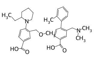 CCC1CCCCN1c1ccc(C(=O)O)cc1COC.Cc1ccccc1-c1ccc(C(=O)O)cc1CN(C)C